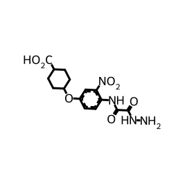 NNC(=O)C(=O)Nc1ccc(OC2CCC(C(=O)O)CC2)cc1[N+](=O)[O-]